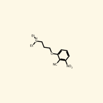 CC[SH](CC)CCCOc1cccc([N+](=O)[O-])c1C#N